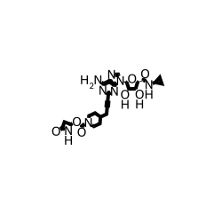 Nc1nc(C#CCC2CCN(C(=O)OC3CC(=O)N3)CC2)nc2c1ncn2[C@@H]1O[C@H](C(=O)NC2CC2)C(O)[C@@H]1O